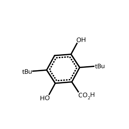 CC(C)(C)c1cc(O)c(C(C)(C)C)c(C(=O)O)c1O